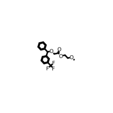 COCCOC(=O)COC(c1ccccc1)c1cccc(C(F)(F)F)c1